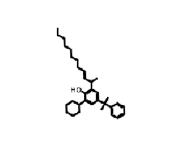 CCCCCCCCCCC(C)c1cc(C(C)(C)c2ccccc2)cc(C2CCCCC2)c1O